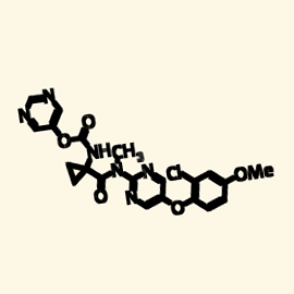 COc1ccc(Oc2cnc(N(C)C(=O)C3(NC(=O)Oc4cncnc4)CC3)nc2)c(Cl)c1